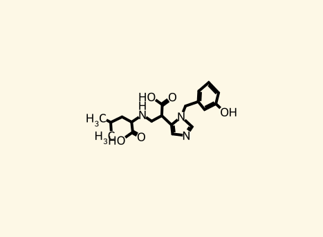 CC(C)CC(NCC(C(=O)O)c1cncn1Cc1cccc(O)c1)C(=O)O